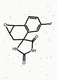 O=C1NC(=O)C2(CC3OC3c3ccc(F)cc32)N1